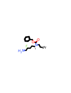 CC(C)CCN(C(=O)OCc1ccccc1)[C@H](C)CCC(F)CN